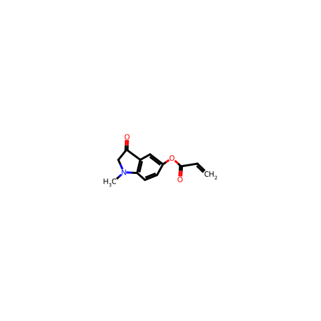 C=CC(=O)Oc1ccc2c(c1)C(=O)CN2C